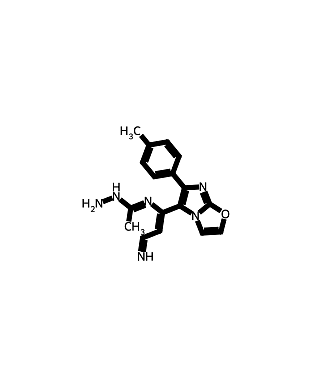 C/C(=N\C(=C/C=N)c1c(-c2ccc(C)cc2)nc2occn12)NN